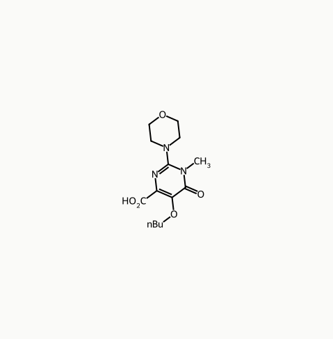 CCCCOc1c(C(=O)O)nc(N2CCOCC2)n(C)c1=O